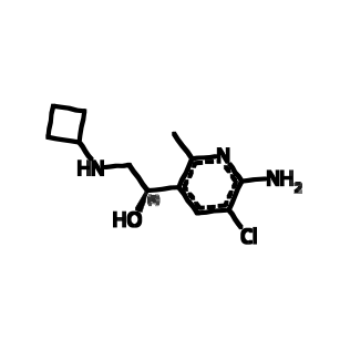 Cc1nc(N)c(Cl)cc1[C@@H](O)CNC1CCC1